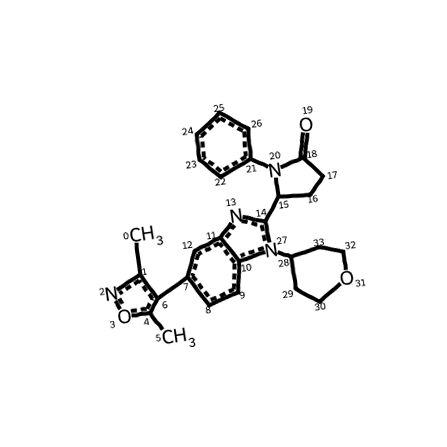 Cc1noc(C)c1-c1ccc2c(c1)nc(C1CCC(=O)N1c1ccccc1)n2C1CCOCC1